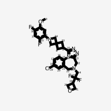 COc1cc(N2CC3(CC(c4nnc5n4-c4ccc(Cl)cc4CN(CC(F)(F)C4COC4)C5)C3)C2)c(F)cc1F